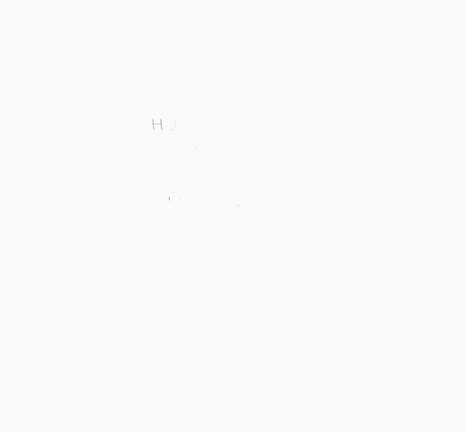 C=CCc1ccc(Oc2ccccc2)c(O)c1